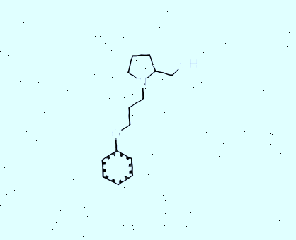 OCC1CCCN1CCCOc1c[c]ccc1